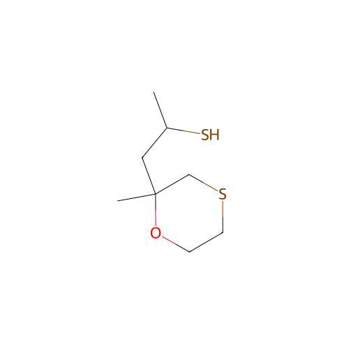 CC(S)CC1(C)CSCCO1